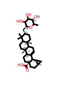 CC1O[C@@H](C[C@H]2CC[C@@]3(C)C(CC[C@]4(C)C3CC=C3C5C6C[C@@]6(C)CC[C@]5(C(=O)O)CC[C@]34C)C2(C)C)C(O)C(O)[C@H]1O